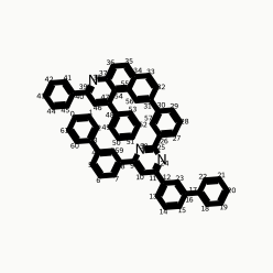 c1ccc(-c2cccc(-c3cc(-c4cccc(-c5ccccc5)c4)nc(-c4cccc(-c5ccc6ccc7nc(-c8ccccc8)cc(-c8ccccc8)c7c6c5)c4)n3)c2)cc1